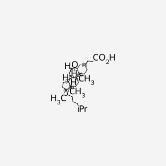 CC(C)CCCC(C)[C@H]1CC[C@H]2[C@@H]3C[C@@H]4OC45C[C@@H](CCC(=O)O)CC[C@]5(C)[C@H]3CC[C@]12C